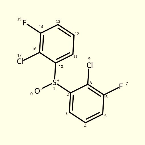 [O-][S+](c1cccc(F)c1Cl)c1cccc(F)c1Cl